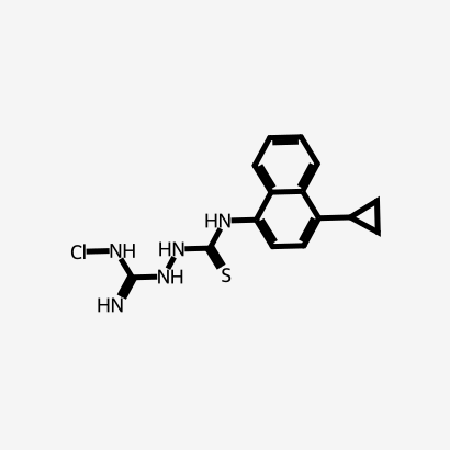 N=C(NCl)NNC(=S)Nc1ccc(C2CC2)c2ccccc12